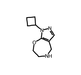 c1nn(C2CCC2)c2c1CNCCO2